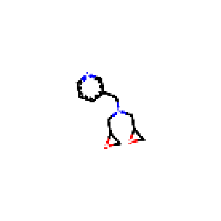 c1cncc(CN(CC2CO2)CC2CO2)c1